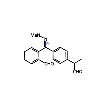 CN/N=C(\C1=CCCC=C1C=O)c1ccc(C(C)C=O)cc1